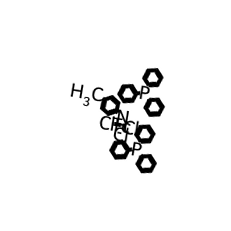 Cc1ccc([N]=[Tc]([Cl])([Cl])[Cl])cc1.c1ccc(P(c2ccccc2)c2ccccc2)cc1.c1ccc(P(c2ccccc2)c2ccccc2)cc1